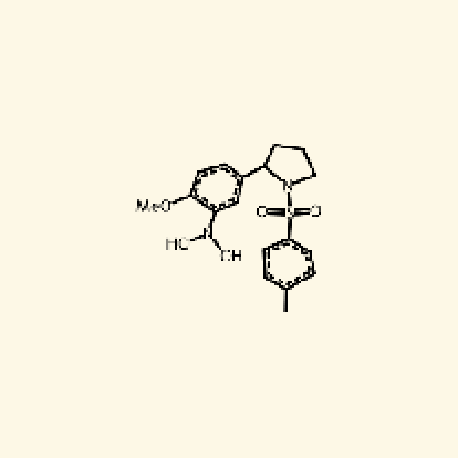 COc1ccc(C2CCCN2S(=O)(=O)c2ccc(C)cc2)cc1N(O)O